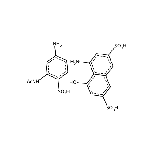 CC(=O)Nc1cc(N)ccc1S(=O)(=O)O.Nc1cc(S(=O)(=O)O)cc2cc(S(=O)(=O)O)cc(O)c12